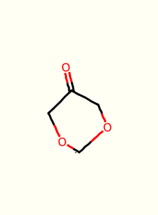 O=C1CO[CH]OC1